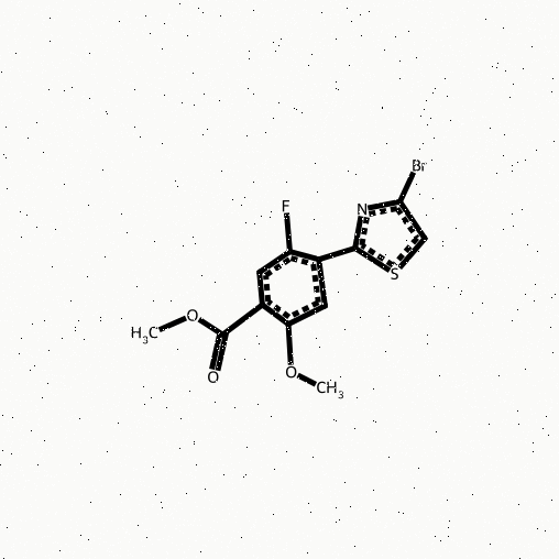 COC(=O)c1cc(F)c(-c2nc(Br)cs2)cc1OC